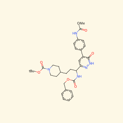 COC(=O)Nc1ccc(-c2cc(C(CCC3CCN(C(=O)OC(C)(C)C)CC3)NC(=O)OCc3ccccc3)n[nH]c2=O)cc1